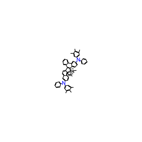 Cc1cc(N(c2ccccc2)c2ccc3c4c(ccc3c2)-c2c(c3ccc(N(c5ccccc5)c5cc(C)c(C)c(C)c5)cc3c3ccccc23)C4([Si](C)(C)C)[Si](C)(C)C)cc(C)c1C